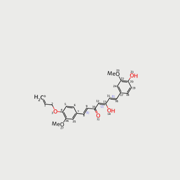 C=CCOc1ccc(/C=C/C(=O)/C=C(O)/C=C/c2ccc(O)c(OC)c2)cc1OC